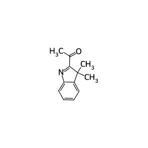 CC(=O)C1=Nc2ccccc2C1(C)C